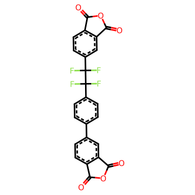 O=C1OC(=O)c2cc(-c3ccc(C(F)(F)C(F)(F)c4ccc5c(c4)C(=O)OC5=O)cc3)ccc21